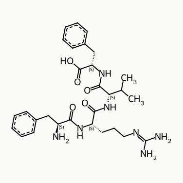 CC(C)[C@H](NC(=O)[C@H](CCCN=C(N)N)NC(=O)[C@@H](N)Cc1ccccc1)C(=O)N[C@@H](Cc1ccccc1)C(=O)O